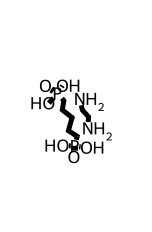 NCCN.O=P(O)(O)CCCCCP(=O)(O)O